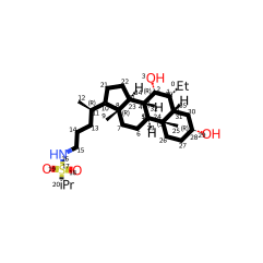 CC[C@H]1[C@@H](O)[C@@H]2[C@H](CC[C@]3(C)C([C@H](C)CCCNS(=O)(=O)C(C)C)CC[C@@H]23)[C@@]2(C)CC[C@@H](O)C[C@@H]12